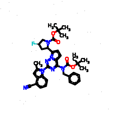 Cc1cc2c(C#N)cccc2n1-c1nc(N(Cc2ccccc2)C(=O)OC(C)(C)C)c2ccc(C3C[C@H](F)CN3C(=O)OC(C)(C)C)n2n1